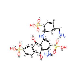 Cc1cc(S(=O)(=O)O)c(Nc2cc(S(=O)(=O)O)c(N)c3c2C(=O)c2cc(S(=O)(=O)O)ccc2C3=O)cc1CN